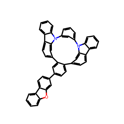 c1ccc2c(c1)oc1cc(-c3ccc4c5ccc6c7ccccc7n(c7cccc(c7)n7c8ccccc8c8ccc(cc87)c4c3)c6c5)ccc12